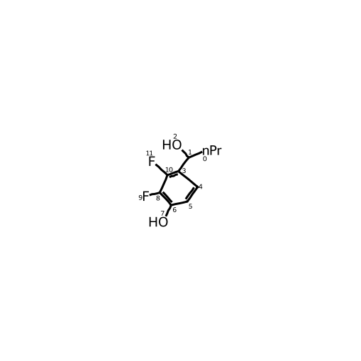 CCCC(O)c1ccc(O)c(F)c1F